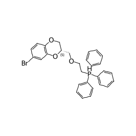 Brc1ccc2c(c1)O[C@@H](COCC[PH](c1ccccc1)(c1ccccc1)c1ccccc1)CO2